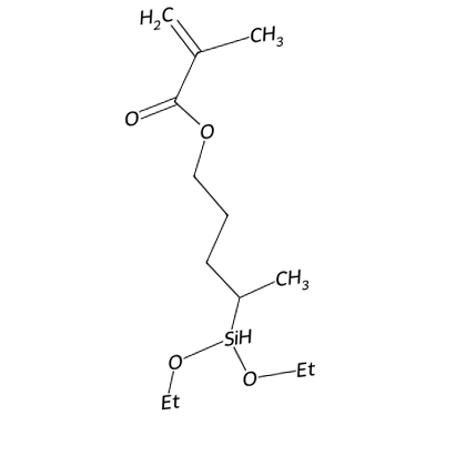 C=C(C)C(=O)OCCCC(C)[SiH](OCC)OCC